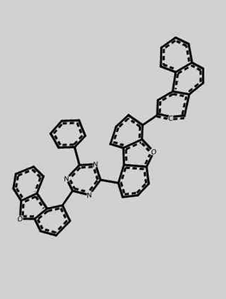 c1ccc(-c2nc(-c3cccc4oc5ccccc5c34)nc(-c3cccc4oc5c(-c6ccc7ccc8ccccc8c7c6)cccc5c34)n2)cc1